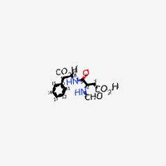 O=CNC(CC(=O)O)C(=O)NC(Cc1ccccc1)C(=O)O